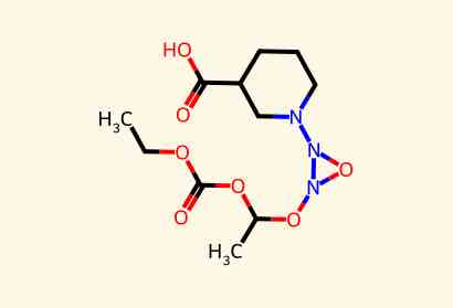 CCOC(=O)OC(C)On1on1N1CCCC(C(=O)O)C1